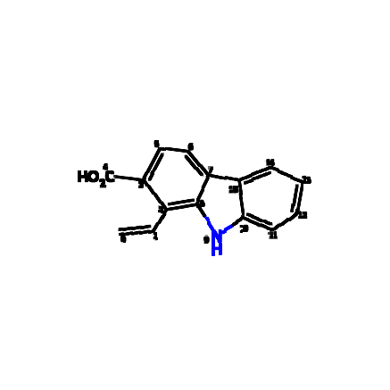 C=Cc1c(C(=O)O)ccc2c1[nH]c1ccccc12